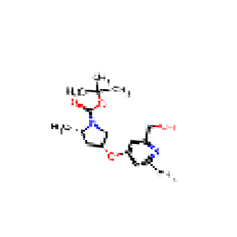 Cc1cc(O[C@@H]2C[C@H](C)N(C(=O)OC(C)(C)C)C2)cc(CO)n1